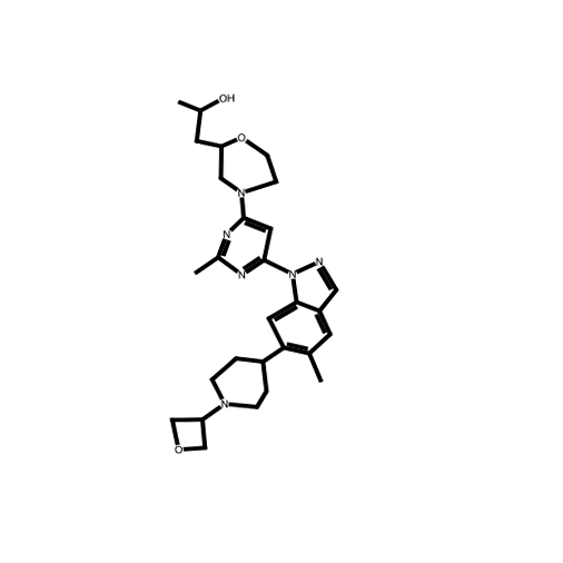 Cc1nc(N2CCOC(CC(C)O)C2)cc(-n2ncc3cc(C)c(C4CCN(C5COC5)CC4)cc32)n1